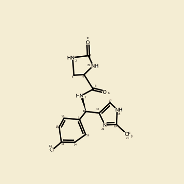 O=C1NCC(C(=O)N[C@H](c2ccc(Cl)cc2)c2c[nH]c(C(F)(F)F)n2)N1